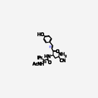 CC(=O)N[C@H](C(=O)NC(CC(N)C#N)C(=O)/C=C/c1ccc(O)cc1)C(C)C